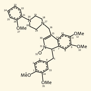 COc1ccc(CC2c3cc(OC)c(OC)cc3C(CN3CCN(c4ccccc4OC)CC3)=CN2[O])cc1OC